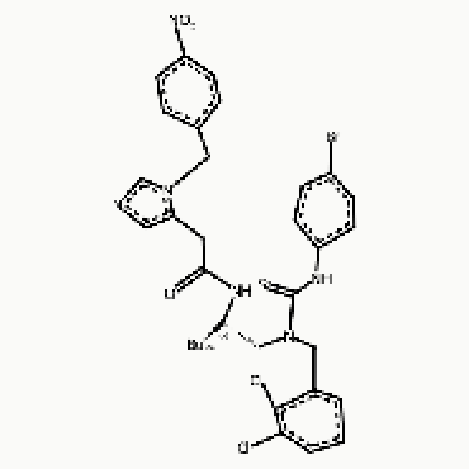 CC[C@H](C)[C@@H](CN(Cc1cccc(Cl)c1Cl)C(=S)Nc1ccc(Br)cc1)NC(=O)Cc1cncn1Cc1ccc([N+](=O)[O-])cc1